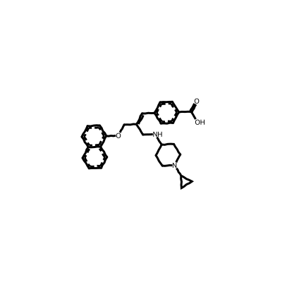 O=C(O)c1ccc(/C=C(\CNC2CCN(C3CC3)CC2)COc2cccc3ccccc23)cc1